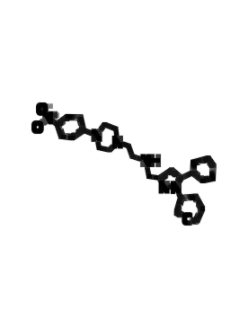 O=[N+]([O-])c1ccc(N2CCN(CCNCc3cc(-c4ccccc4)n(-c4ccccc4)n3)CC2)cc1